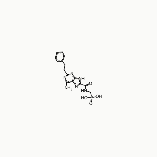 Nc1nc(CCc2ccccc2)nc2[nH]c(C(=O)NCP(=O)(O)O)nc12